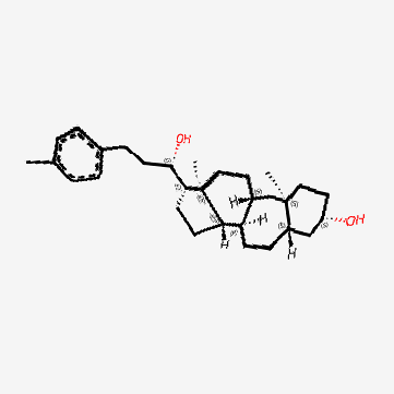 Cc1ccc(CC[C@H](O)[C@H]2CC[C@H]3[C@@H]4CC[C@H]5C[C@@H](O)CC[C@]5(C)[C@H]4CC[C@]23C)cc1